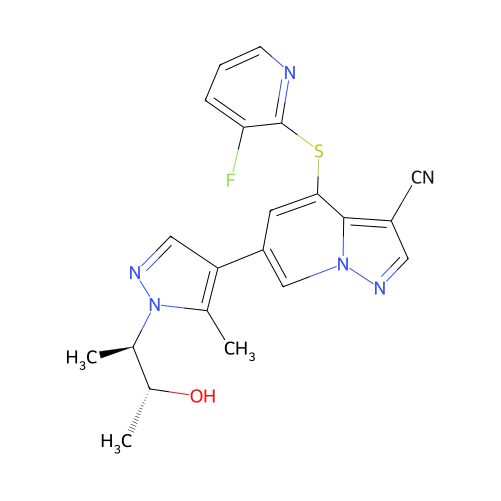 Cc1c(-c2cc(Sc3ncccc3F)c3c(C#N)cnn3c2)cnn1[C@H](C)[C@@H](C)O